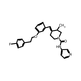 CC1CN(C(=O)Nc2cccnc2)CCC1=Cc1cccc(OCCc2ccc(F)cc2)c1